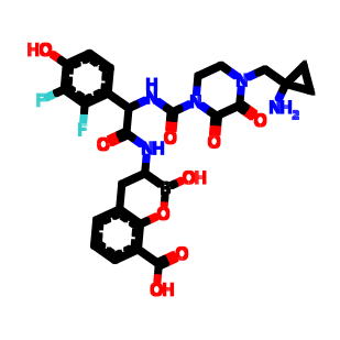 NC1(CN2CCN(C(=O)NC(C(=O)NC3Cc4cccc(C(=O)O)c4OB3O)c3ccc(O)c(F)c3F)C(=O)C2=O)CC1